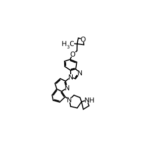 CC1(COc2ccc3c(c2)ncn3-c2ccc3cccc(N4CCC5(CCN5)CC4)c3n2)COC1